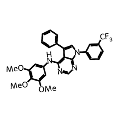 COc1cc(Nc2ncnc3c2c(-c2ccccc2)cn3-c2cccc(C(F)(F)F)c2)cc(OC)c1OC